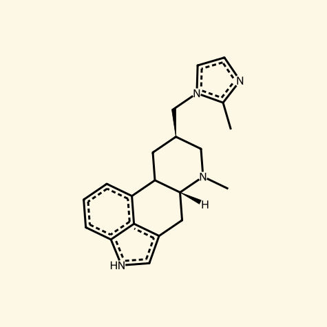 Cc1nccn1C[C@@H]1CC2c3cccc4[nH]cc(c34)C[C@H]2N(C)C1